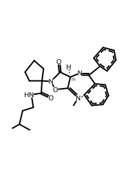 CC(C)CCNC(=O)C1(N2OC3=[N+](C)c4ccccc4C(c4ccccc4)=N[C@@H]3C2=O)CCCC1